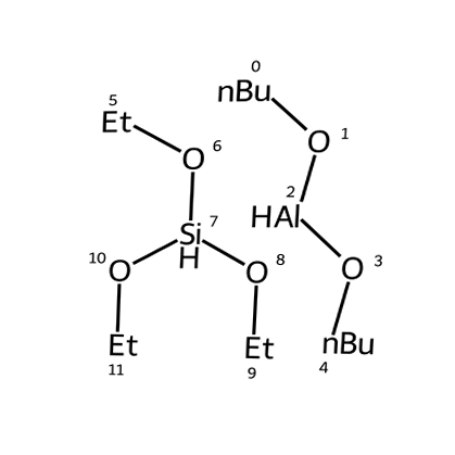 CCCC[O][AlH][O]CCCC.CCO[SiH](OCC)OCC